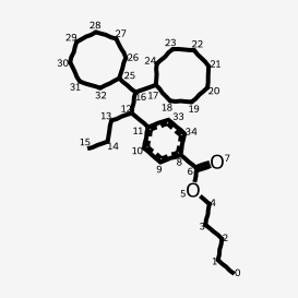 CCCCCOC(=O)c1ccc(C(CCC)C(C2CCCCCCC2)C2CCCCCCC2)cc1